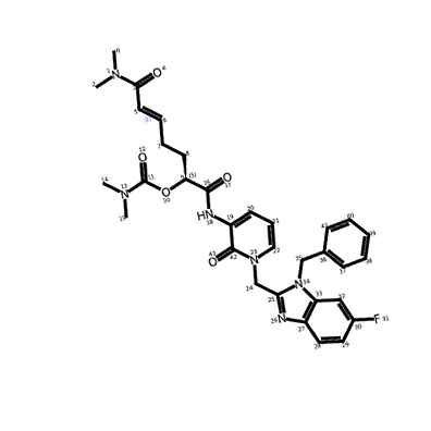 CN(C)C(=O)/C=C/CC[C@H](OC(=O)N(C)C)C(=O)Nc1cccn(Cc2nc3ccc(F)cc3n2Cc2ccccc2)c1=O